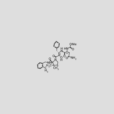 COC(=O)N[C@@H](CC(N)=O)C(=O)N[C@@H](Cc1ccccc1)[C@H](O)C(=O)N1CSC(C)(C)[C@H]1C(=O)NCc1ccccc1C